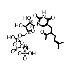 CC(=O)C(CC=C(C)C)Cc1cn([C@@H]2O[C@H](COP(=O)(O)OP(=O)(O)OP(=O)(O)O)C(O)[C@@H]2O)c(=O)[nH]c1=O